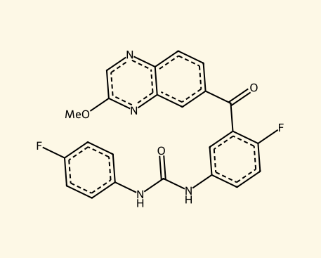 COc1cnc2ccc(C(=O)c3cc(NC(=O)Nc4ccc(F)cc4)ccc3F)cc2n1